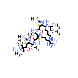 CCC(C)N[C@@H](CCCCN)c1nc(C)sc1C(=O)N[C@@H](C)c1nc(CCCCN)sc1C(=O)N[C@@H](C)c1nc(C)sc1C(=O)C(N)(CC)CC